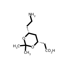 CC1(C)O[C@H](CCN)C[C@H](CC(=O)O)O1